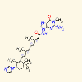 CC1=C(/C=C/C(C)=C/C=C/C(C)=C/C(=O)Nn2cnc3c(=O)n(C)c(N)nc32)C(C)(C)CCC1n1ccnc1